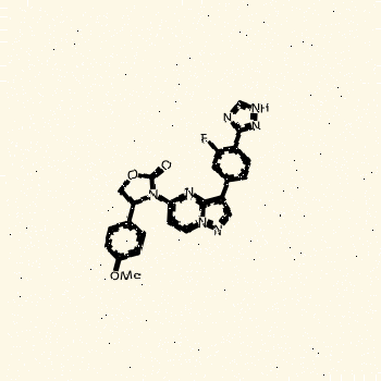 COc1ccc(C2COC(=O)N2c2ccn3ncc(-c4ccc(-c5nc[nH]n5)c(F)c4)c3n2)cc1